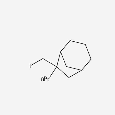 CCCC1(CI)CC2CCCC1C2